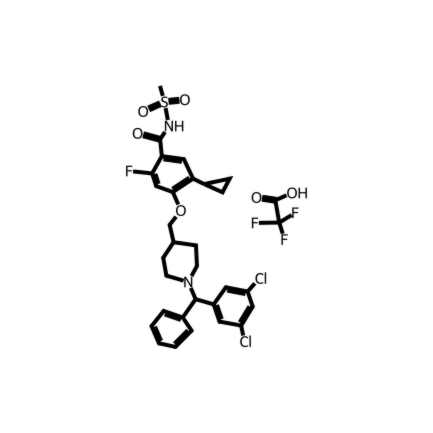 CS(=O)(=O)NC(=O)c1cc(C2CC2)c(OCC2CCN(C(c3ccccc3)c3cc(Cl)cc(Cl)c3)CC2)cc1F.O=C(O)C(F)(F)F